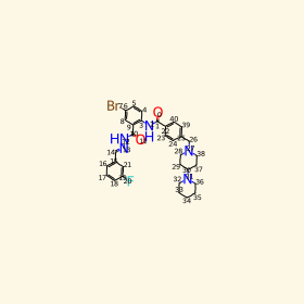 O=C(Nc1ccc(Br)cc1C(=O)NN=Cc1cccc(F)c1)c1ccc(CN2CCC(N3CCCCC3)CC2)cc1